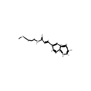 COCCOC(=O)/C=C/c1ccc2ncccc2c1